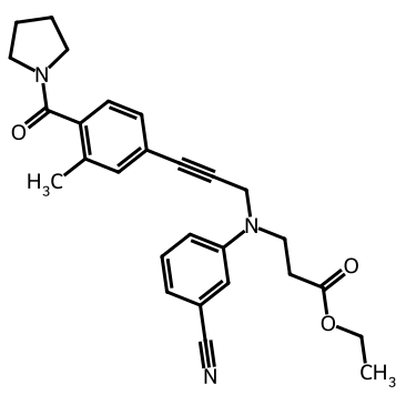 CCOC(=O)CCN(CC#Cc1ccc(C(=O)N2CCCC2)c(C)c1)c1cccc(C#N)c1